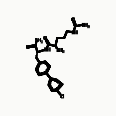 NC(=O)NCCC[C@@H](N)C(=O)N[C@H](Cc1ccc(-c2ccc(Cl)cc2)cc1)C(N)=O